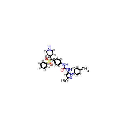 Cc1ccc(-n2nc(C(C)(C)C)cc2NC(=O)Nc2ccc(C(C3CCNCC3)S(=O)(=O)c3ccccc3)cc2)cc1